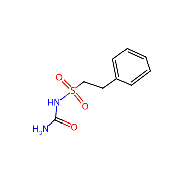 NC(=O)NS(=O)(=O)CCc1ccccc1